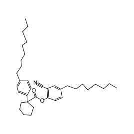 CCCCCCCCCc1ccc(C2(C(=O)Oc3ccc(CCCCCCCC)cc3C#N)CCCCC2)cc1